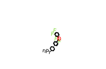 CCC[C@H]1CC[C@H](c2ccc(C(F)(F)Oc3ccc(F)c(F)c3)cc2)CC1